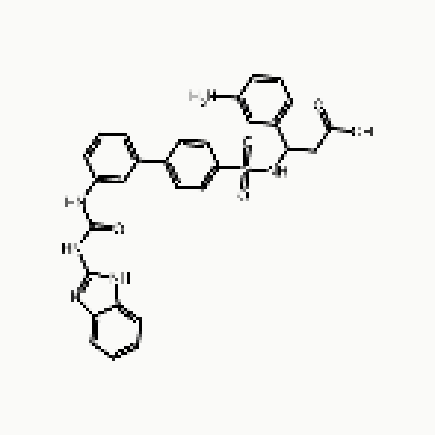 Nc1cccc(C(CC(=O)O)NS(=O)(=O)c2ccc(-c3cccc(NC(=O)Nc4nc5ccccc5[nH]4)c3)cc2)c1